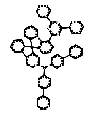 c1ccc(-c2ccc(N(c3ccc(-c4ccccc4)cc3)c3ccc4c(c3)C3(c5ccccc5-4)c4ccccc4-c4c(-c5nc(-c6ccccc6)nc(-c6ccccc6)n5)cccc43)cc2)cc1